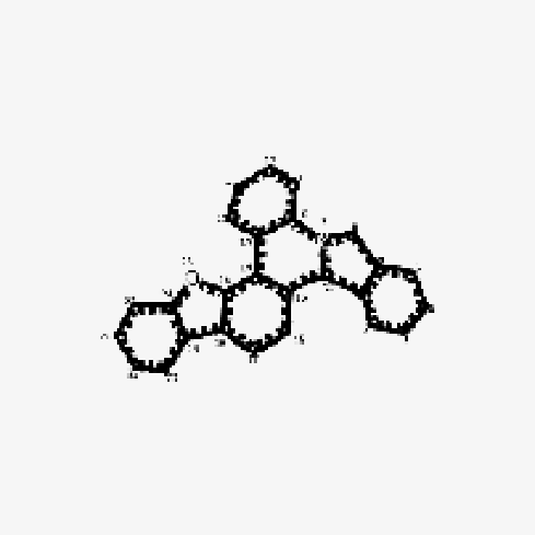 c1ccc2c(c1)cn1c3ccccc3c3c(ccc4c5ccccc5oc43)c21